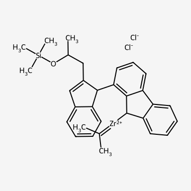 C[C](C)=[Zr+2][CH]1c2ccccc2-c2cccc(C3C(CC(C)O[Si](C)(C)C)=Cc4ccccc43)c21.[Cl-].[Cl-]